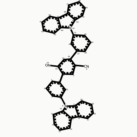 N#Cc1cc(-c2cccc(-n3c4ccccc4c4ccccc43)c2)c(N=O)cc1-c1cccc(-n2c3ccccc3c3ccccc32)c1